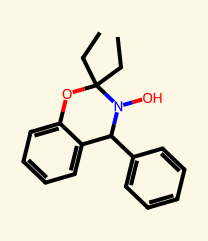 CCC1(CC)Oc2ccccc2C(c2ccccc2)N1O